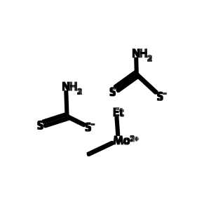 C[CH2][Mo+2][CH3].NC(=S)[S-].NC(=S)[S-]